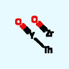 [O]=[Y][Th].[O]=[Zr]